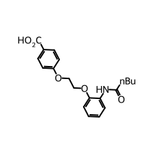 CCCCC(=O)Nc1ccccc1OCCOc1ccc(C(=O)O)cc1